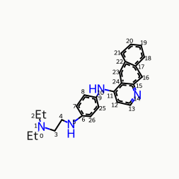 CCN(CC)CCNc1ccc(Nc2ccnc3cc4ccccc4cc23)cc1